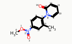 CO[N+](=O)c1ccc(-n2ccccc2=O)c(C)c1